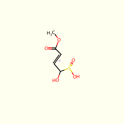 COC(=O)/C=C/C(O)S(=O)O